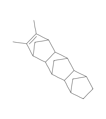 CC1=C(C)C2CC1C1C3CC(C4C5CCC(C5)C34)C21